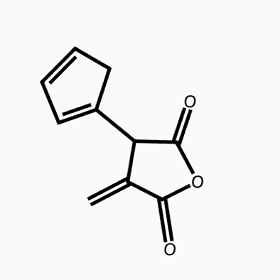 C=C1C(=O)OC(=O)C1C1=CC=CC1